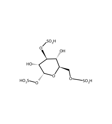 O=S(=O)(O)OC[C@H]1O[C@H](OS(=O)(=O)O)[C@H](O)[C@@H](OS(=O)(=O)O)[C@@H]1O